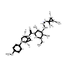 COc1ccc(N2C[C@@H]3C[C@H]2CN3C(=O)[C@@H]2O[C@H](CO)[C@H](O)[C@H](N/N=N\C3(C)[C@H](C)[C@H]3F)[C@H]2O)cc1